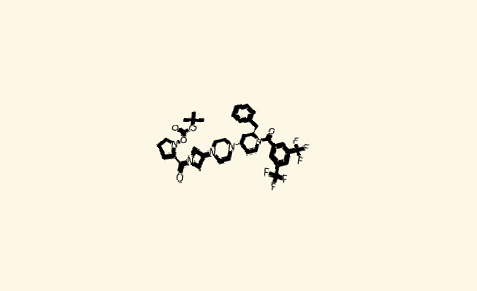 CC(C)(C)OC(=O)ON1CCC[C@@H]1C(=O)N1CC(N2CCN([C@H]3CCN(C(=O)c4cc(C(F)(F)F)cc(C(F)(F)F)c4)[C@H](Cc4ccccc4)C3)CC2)C1